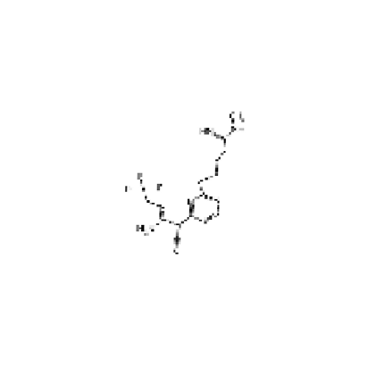 CNC(=N)CCCCc1nccc(N(C#N)C(N)=NCC(F)(F)F)n1